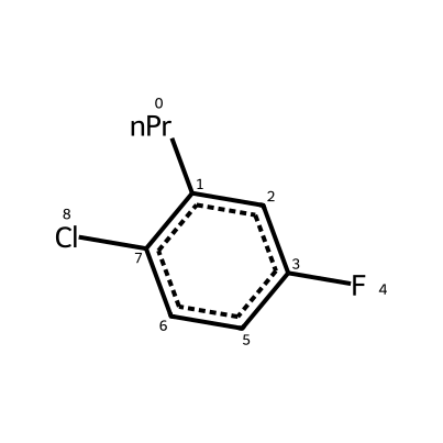 CCCc1cc(F)ccc1Cl